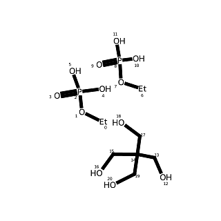 CCOP(=O)(O)O.CCOP(=O)(O)O.OCC(CO)(CO)CO